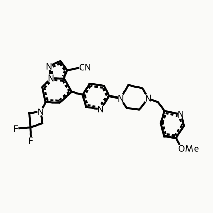 COc1ccc(CN2CCN(c3ccc(-c4cc(N5CC(F)(F)C5)cn5ncc(C#N)c45)cn3)CC2)nc1